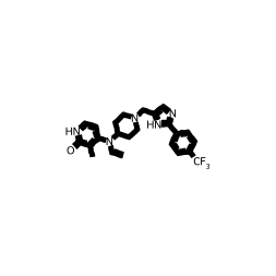 C=CN(c1cc[nH]c(=O)c1C)C1CCN(Cc2cnc(-c3ccc(C(F)(F)F)cc3)[nH]2)CC1